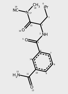 CC(C)CC(NC(=O)c1cccc(C(N)=O)c1)C(=O)N(C)C#N